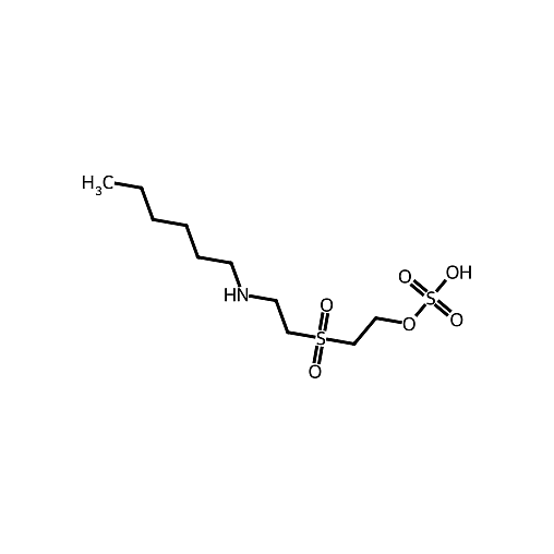 CCCCCCNCCS(=O)(=O)CCOS(=O)(=O)O